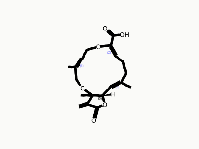 C=C1C(=O)O[C@H]2/C=C(\C)CC/C=C(\C(=O)O)CC/C=C(\C)CCC12C